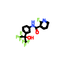 O=C(Nc1cccc(C(O)(C(F)(F)F)C(F)(F)F)c1)c1cccnc1F